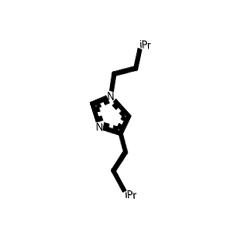 CC(C)CCc1cn(CCC(C)C)cn1